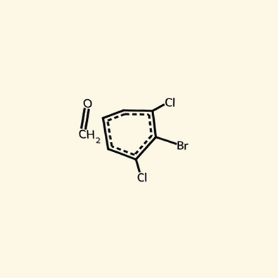 C=O.Clc1cccc(Cl)c1Br